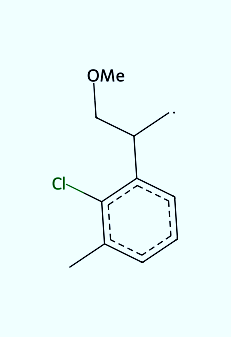 [CH2]C(COC)c1cccc(C)c1Cl